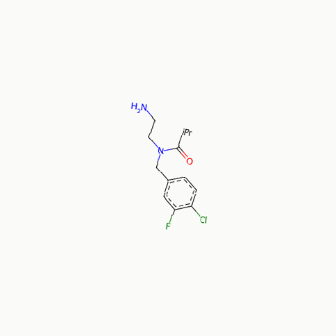 CC(C)C(=O)N(CCN)Cc1ccc(Cl)c(F)c1